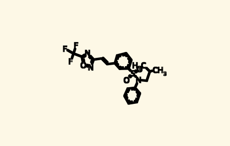 CC(C)CN(c1ccccc1)S(=O)(=O)c1cccc(/C=C/c2noc(C(F)(F)F)n2)c1